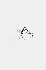 CCCCCC(CCC)OC(=O)NC(C)(C)c1cccc(Oc2cccc(C(=O)N3CCOCC3)c2)c1